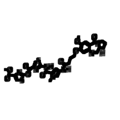 COC(=O)c1csc(OC(=O)c2csc(NC(=O)c3cc(NC(=O)CCCOc4cc5c(cc4OC)C(=O)N4CCC[C@H]4C=N5)cn3C)n2)n1